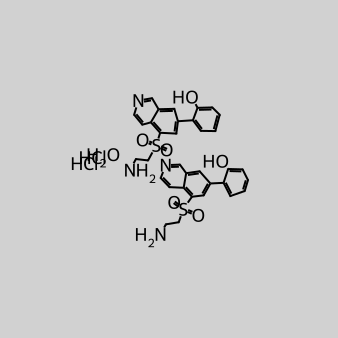 Cl.Cl.NCCS(=O)(=O)c1cc(-c2ccccc2O)cc2cnccc12.NCCS(=O)(=O)c1cc(-c2ccccc2O)cc2cnccc12.O